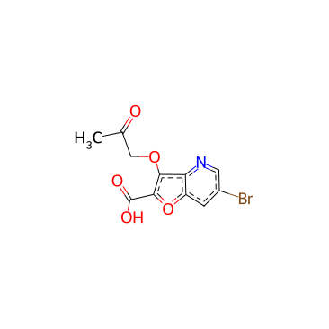 CC(=O)COc1c(C(=O)O)oc2cc(Br)cnc12